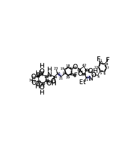 CC/C(=N/OCc1ccc(F)c(F)c1)[C@H]1O[C@@H](Oc2ccc(/C=C(\C)C(=O)N[C@@H]3[C@H](O)[C@@H](O)[C@H]4OCO[C@H]4[C@@H]3O)cc2F)C[C@@H]1O